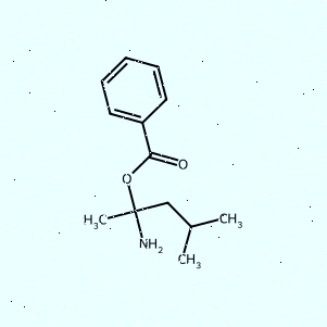 CC(C)CC(C)(N)OC(=O)c1ccccc1